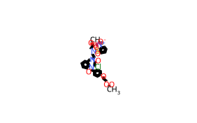 COCCN(CCN1Cc2ccccc2N(C(=O)c2ccc(OCCOC(C)=O)cc2Cl)CC1=O)S(=O)(=O)c1ccccc1[N+](=O)[O-]